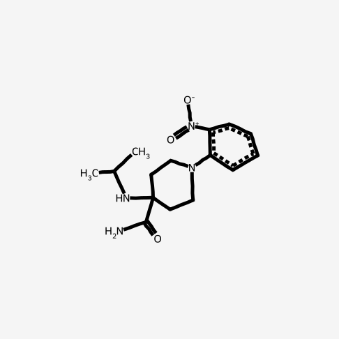 CC(C)NC1(C(N)=O)CCN(c2ccccc2[N+](=O)[O-])CC1